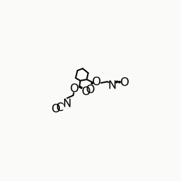 O=C=NCCOC(=O)C1CCCCC1C(=O)OCCN=C=O